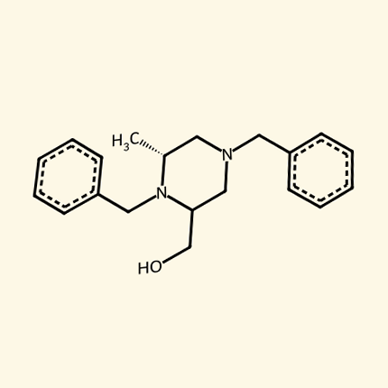 C[C@@H]1CN(Cc2ccccc2)CC(CO)N1Cc1ccccc1